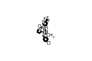 Cc1nnc([C@H]2CCCN2C(=O)Nc2ccc(C(F)(F)F)nc2)n1Cc1ccc(Cl)cc1